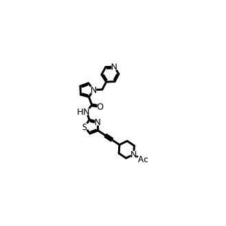 CC(=O)N1CCC(C#Cc2csc(NC(=O)c3cccn3Cc3ccncc3)n2)CC1